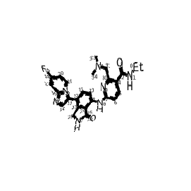 CCNC(=O)c1ccc(Nc2ccc(-c3cnc4cc(F)ccn34)c3c2C(=O)NC3)nc1CN(C)C